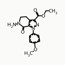 CCOC(=O)c1nn(-c2ccc(OC)cc2)c2c1CCN(N)C2=O